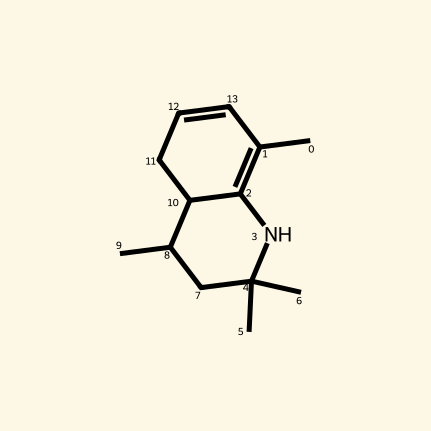 CC1=C2NC(C)(C)CC(C)C2CC=C1